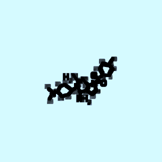 Cc1ccc(S(=O)(=O)n2ccc3c2N=C(N)N(C2CCC(N(C)C)CC2)C3N)cc1